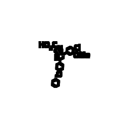 COc1cc(-c2cc(-c3ccc(OCc4ccccc4)cc3)nc3cc(C(=O)O)nn23)ccc1Cl